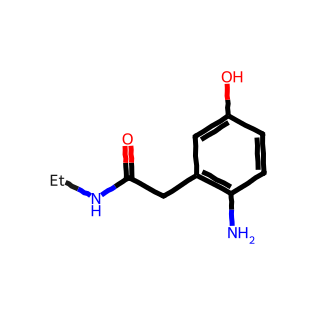 CCNC(=O)Cc1cc(O)ccc1N